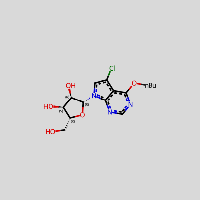 CCCCOc1ncnc2c1c(Cl)cn2[C@@H]1O[C@H](CO)[C@@H](O)[C@H]1O